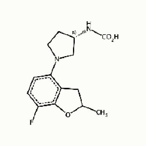 CC1Cc2c(N3CC[C@H](NC(=O)O)C3)ccc(F)c2O1